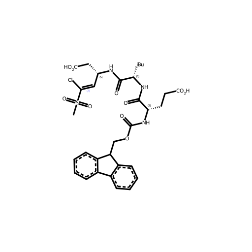 CCC(C)[C@H](NC(=O)[C@H](CCC(=O)O)NC(=O)OCC1c2ccccc2-c2ccccc21)C(=O)N[C@H](/C=C(\Cl)S(C)(=O)=O)CC(=O)O